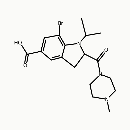 CC(C)N1c2c(Br)cc(C(=O)O)cc2CC1C(=O)N1CCN(C)CC1